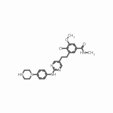 CNC(=O)c1cc(CCc2cnc(Nc3ccc(N4CCNCC4)cc3)nc2)c(Cl)c(OC)c1